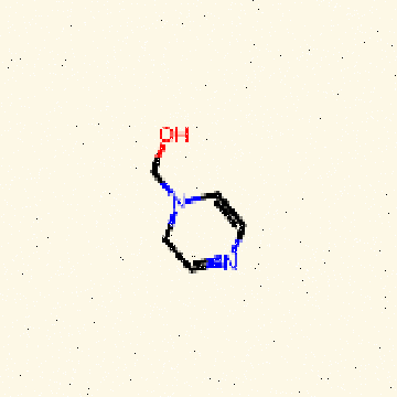 OCN1C=CN=CC1